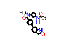 CCC(=O)N[C@H]1CC[C@@H](N(C)C(=O)c2ccc(-c3ccc4c(c3)NC(=O)C4)cc2)C1